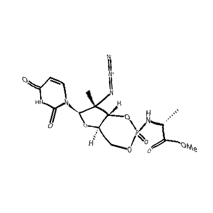 COC(=O)[C@@H](C)NP1(=O)OC[C@H]2O[C@@H](n3ccc(=O)[nH]c3=O)[C@](C)(N=[N+]=[N-])[C@@H]2O1